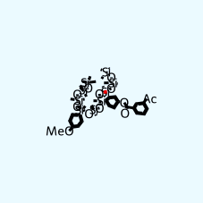 COc1ccc([Si](C)(O[Si](C)(C)O[Si](C)(C)O[Si](C)(C)C)O[Si](C)(C)O[Si](C)(O[Si](C)(C)O[Si](C)(C)O[Si](C)(C)C)c2ccc(OC(=O)c3cccc(C(C)=O)c3)cc2)cc1